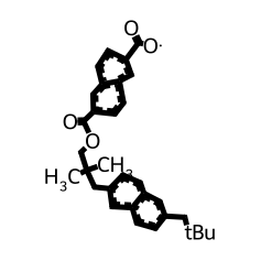 [CH2]C(C)(C)Cc1ccc2cc(CC(C)(C)COC(=O)c3ccc4cc(C([O])=O)ccc4c3)ccc2c1